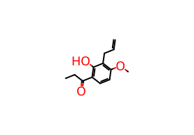 C=CCc1c(OC)ccc(C(=O)CC)c1O